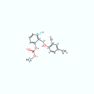 COC(=O)Oc1cccc(F)c1COc1ccc(C)cc1Br